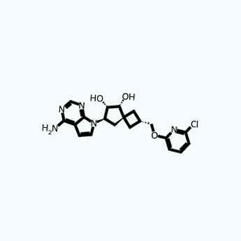 Nc1ncnc2c1ccn2[C@@H]1C[C@]2(C[C@H](COc3cccc(Cl)n3)C2)[C@@H](O)[C@H]1O